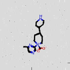 Cc1cncc([N+]2(C(=O)[O-])CCC(C3CCNCC3)CC2)n1